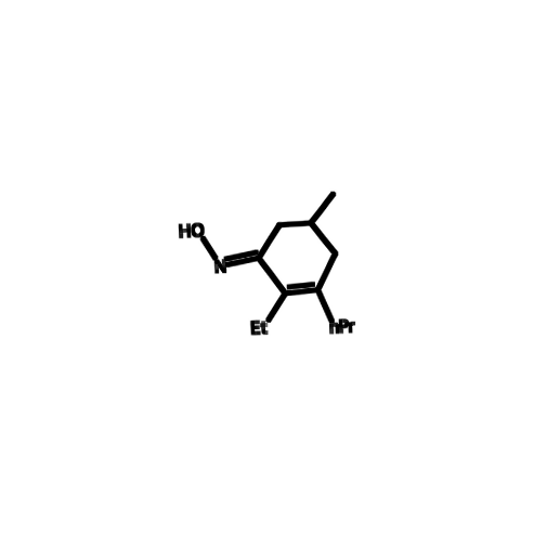 CCCC1=C(CC)/C(=N/O)CC(C)C1